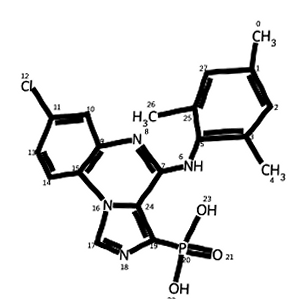 Cc1cc(C)c(Nc2nc3cc(Cl)ccc3n3cnc(P(=O)(O)O)c23)c(C)c1